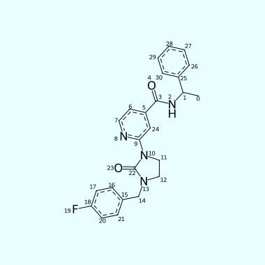 CC(NC(=O)c1ccnc(N2CCN(Cc3ccc(F)cc3)C2=O)c1)c1ccccc1